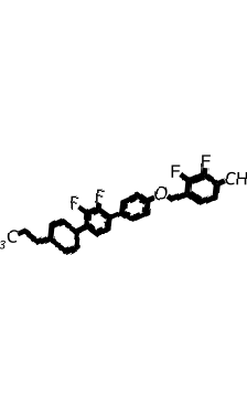 CCCC1CCC(c2ccc(-c3ccc(OCC4=CCC(C)C(F)=C4F)cc3)c(F)c2F)CC1